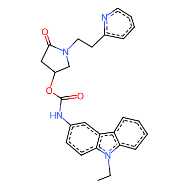 CCn1c2ccccc2c2cc(NC(=O)OC3CC(=O)N(CCc4ccccn4)C3)ccc21